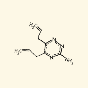 C=CCc1nnc(N)nc1CC=C